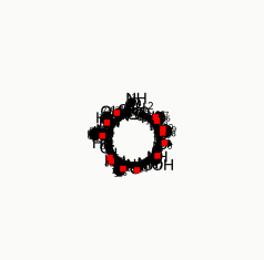 CCCC[C@H]1C(=O)N(C)CC(=O)N[C@@H](CC(=O)O)C(=O)N[C@@H](C(C)C)C(=O)N(C)[C@@H](Cc2ccccc2)C(=O)NC(CC(C)C)C(=O)N(C)CC(=O)N[C@@H](Cc2c[nH]c3ccccc23)C(=O)N[C@@H](Cc2ccc(O)cc2)C(=O)N[C@@H](CC(C)C)C(=O)N[C@H](C(=O)NCC(N)=O)CSCC(=O)N[C@@H](Cc2ccccc2)C(=O)N(C)[C@@H](Cc2ccccc2)C(=O)N1C